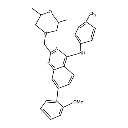 COc1ccccc1-c1ccc2c(Nc3ccc(C(F)(F)F)cc3)nc(CN3CC(C)OC(C)C3)nc2c1